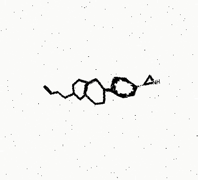 C=CCCC1CCC2=C(CCC(c3ccc([C@@H]4CN4)cc3)C2)C1